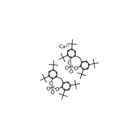 CC(C)(C)c1cc2c(c(C(C)(C)C)c1)OP(=O)([O-])Oc1c(cc(C(C)(C)C)cc1C(C)(C)C)C2.CC(C)(C)c1cc2c(c(C(C)(C)C)c1)OP(=O)([O-])Oc1c(cc(C(C)(C)C)cc1C(C)(C)C)C2.[Ca+2]